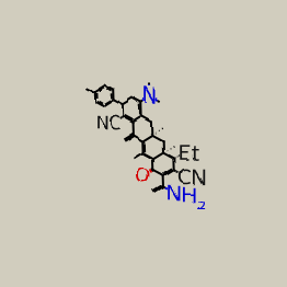 C=C(N)C1=C(C#N)[C@@H](CC)[C@]2(C)C[C@]3(C)CC4=C(N(C)C)CC(c5ccc(C)cc5)C(C#N)=C4C(=C)C3=C(C)C2C1=O